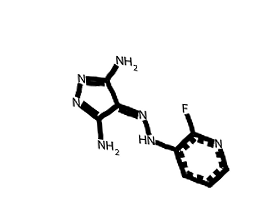 NC1=NN=C(N)C1=NNc1cccnc1F